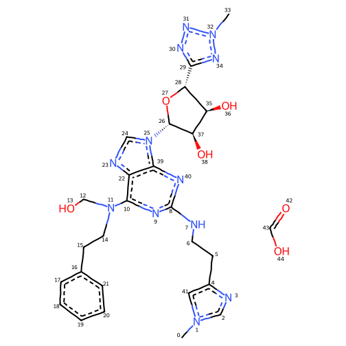 Cn1cnc(CCNc2nc(N(CO)CCc3ccccc3)c3ncn([C@@H]4O[C@H](c5nnn(C)n5)[C@@H](O)[C@H]4O)c3n2)c1.O=CO